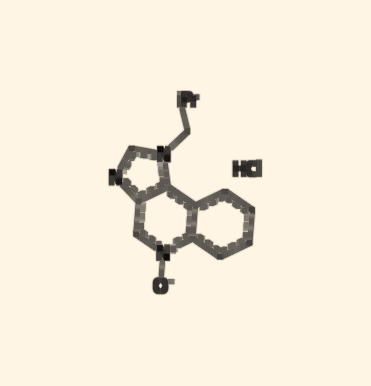 CC(C)Cn1cnc2c[n+]([O-])c3ccccc3c21.Cl